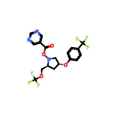 O=C(ON1C[C@H](Oc2ccc(C(F)(F)F)cc2)C[C@H]1COC(F)(F)F)c1cncnc1